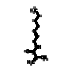 C=C(C)C(=O)NCC=NCCCC